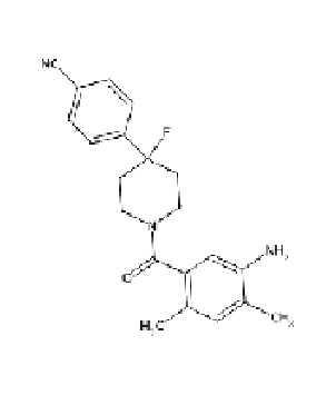 Cc1cc(C)c(C(=O)N2CCC(F)(c3ccc(C#N)cc3)CC2)cc1N